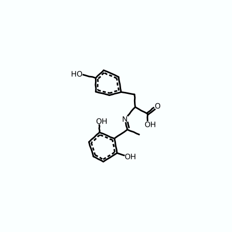 CC(=NC(Cc1ccc(O)cc1)C(=O)O)c1c(O)cccc1O